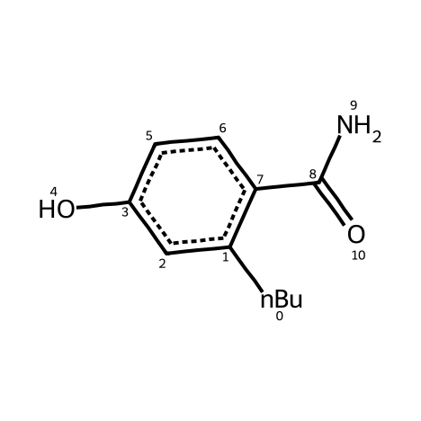 CCCCc1cc(O)ccc1C(N)=O